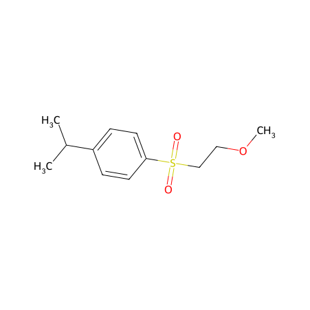 COCCS(=O)(=O)c1ccc(C(C)C)cc1